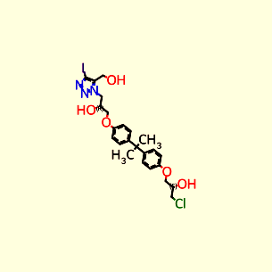 CC(C)(c1ccc(OC[C@H](O)CCl)cc1)c1ccc(OC[C@H](O)Cn2nnc(I)c2CO)cc1